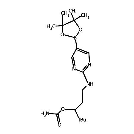 CC(C)(C)C(CCNc1ncc(B2OC(C)(C)C(C)(C)O2)cn1)OC(N)=O